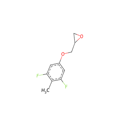 Cc1c(F)cc(OCC2CO2)cc1F